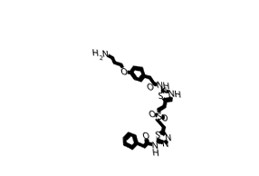 NCCCOc1ccc(CC(=O)NN2NC=C(CCS(=O)(=O)CCc3nnc(NC(=O)Cc4ccccc4)s3)S2)cc1